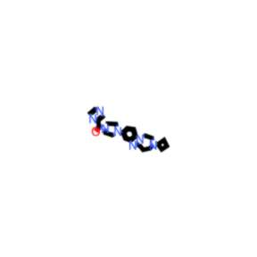 O=C(c1cnccn1)N1CCN(c2ccc3c(c2)nc2n3CCN(C3CCC3)CC2)CC1